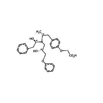 C[C@H](Cc1ccc(OCC(=O)O)cc1)N(C[C@@H](O)COc1ccccc1)[C@H](O)Cc1ccccc1